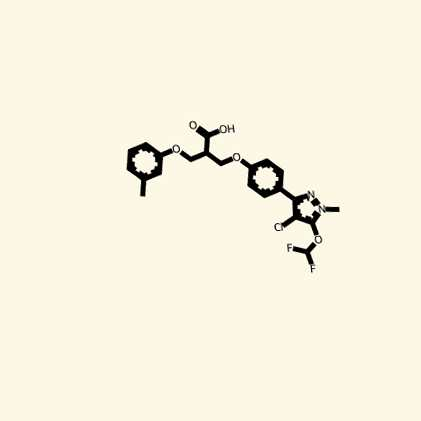 Cc1cccc(OCC(COc2ccc(-c3nn(C)c(OC(F)F)c3Cl)cc2)C(=O)O)c1